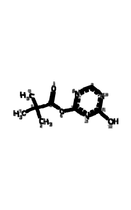 CC(C)(C)C(=O)Oc1ncnc(O)n1